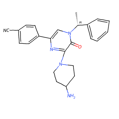 C[C@H](c1ccccc1)n1cc(-c2ccc(C#N)cc2)nc(N2CCC(N)CC2)c1=O